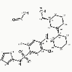 O=CO.O=S(=O)(Nc1nccs1)c1cc(Cl)c(N[C@H]2CCCC[C@@H]2N2CCC[C@H](CO)C2)cc1F